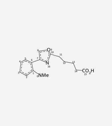 CNc1ccccc1-c1coc(CCCCC(=O)O)n1